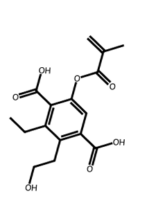 C=C(C)C(=O)Oc1cc(C(=O)O)c(CCO)c(CC)c1C(=O)O